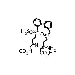 NC(CC[S+]([O-])Cc1ccccc1)CC(=O)O.NC(CC[S+]([O-])Cc1ccccc1)CC(=O)O.S